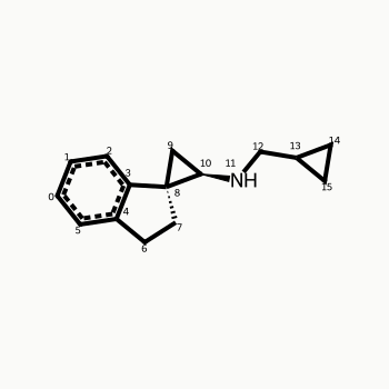 c1ccc2c(c1)CC[C@@]21C[C@H]1NCC1CC1